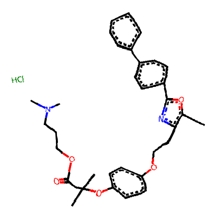 Cc1oc(-c2ccc(-c3ccccc3)cc2)nc1CCOc1ccc(OC(C)(C)C(=O)OCCCN(C)C)cc1.Cl